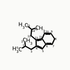 CC(C)CC1=CC2=CCC=CC2=C1CC(C)C